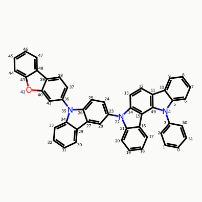 c1ccc(-n2c3ccccc3c3ccc4c(c5ccccc5n4-c4ccc5c(c4)c4ccccc4n5-c4ccc5c(c4)oc4ccccc45)c32)cc1